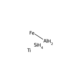 [AlH2][Fe].[SiH4].[Ti]